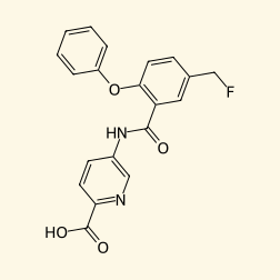 O=C(O)c1ccc(NC(=O)c2cc(CF)ccc2Oc2ccccc2)cn1